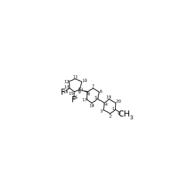 CC1CCC(C2CCC([C@@H]3CCCC(F)C3F)CC2)CC1